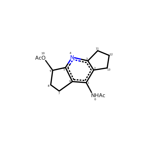 CC(=O)Nc1c2c(nc3c1CCC3OC(C)=O)CCC2